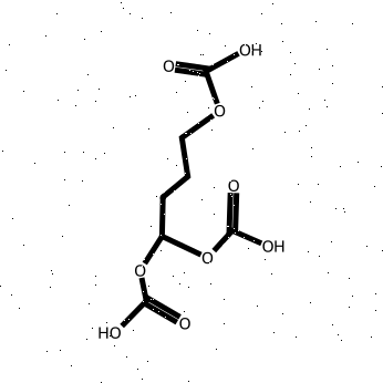 O=C(O)OCCCC(OC(=O)O)OC(=O)O